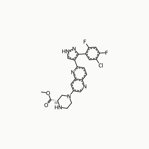 COC(=O)[C@@H]1CN(c2cnc3ccc(-c4c[nH]nc4-c4cc(Cl)c(F)cc4F)nc3c2)CCN1